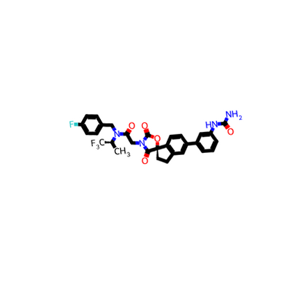 C[C@H](N(Cc1ccc(F)cc1)C(=O)CN1C(=O)O[C@@]2(CCc3cc(-c4cccc(NC(N)=O)c4)ccc32)C1=O)C(F)(F)F